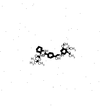 COc1cc(NCC(O)c2ccc(C(=O)Nc3ccccc3NC(=O)OC(C)(C)C)cc2)cc(OC)c1OC